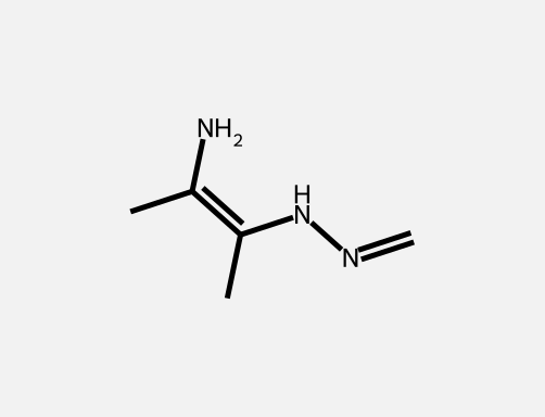 C=NN/C(C)=C(/C)N